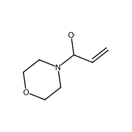 C=CC([O])N1CCOCC1